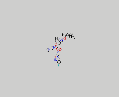 Cc1cc(CC(OC(=O)N2CCC(N3Cc4ccc(F)cc4NC3=O)CC2)C(=O)N2CCC(N3CCCCC3)CC2)cc2cn(COCC[Si](C)(C)C)nc12